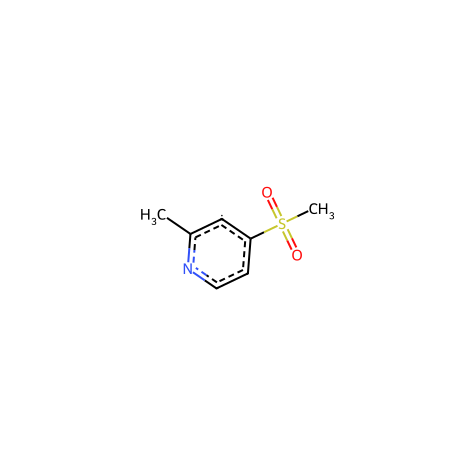 Cc1[c]c(S(C)(=O)=O)ccn1